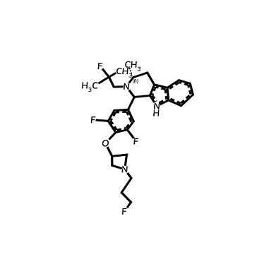 C[C@@H]1Cc2c([nH]c3ccccc23)C(c2cc(F)c(OC3CN(CCCF)C3)c(F)c2)N1CC(C)(C)F